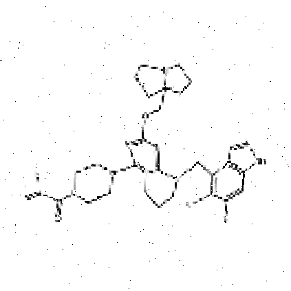 C=C(F)C(=O)N1CCN(c2nc(OCC34CCCN3CCC4)nc3c2CCCN3Cc2c(Cl)c(F)cc3[nH]ncc23)CC1